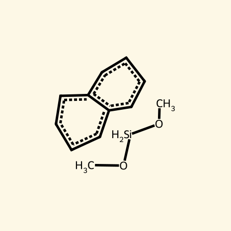 CO[SiH2]OC.c1ccc2ccccc2c1